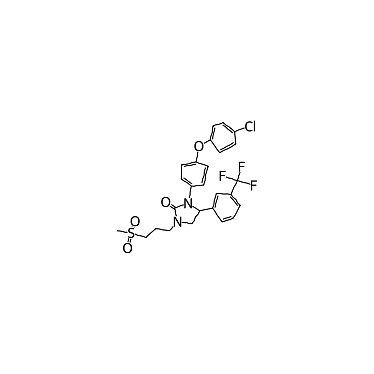 CS(=O)(=O)CCCN1CC(c2cccc(C(F)(F)F)c2)N(c2ccc(Oc3ccc(Cl)cc3)cc2)C1=O